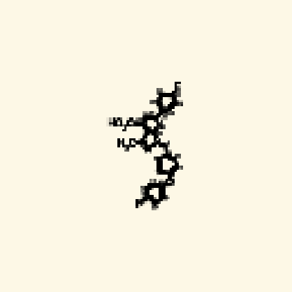 Cc1nn(Cc2ccc(Oc3ccc(F)cc3)cc2)c2nc(-c3ccc(F)cc3)cc(C(=O)O)c12